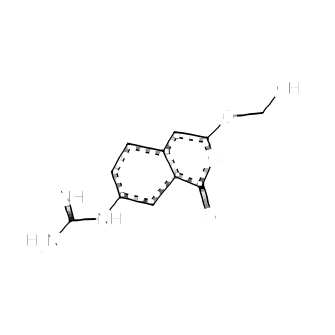 CCOc1cc2ccc(NC(=N)N)cc2c(=O)o1